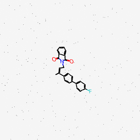 CC(=CCN1C(=O)c2ccccc2C1=O)c1ccc(-c2ccc(F)cc2)cc1